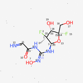 C[C@@]1(F)[C@H](N/C(=N/O)NC(=O)C=N)O[C@](F)(CO)[C@H]1O